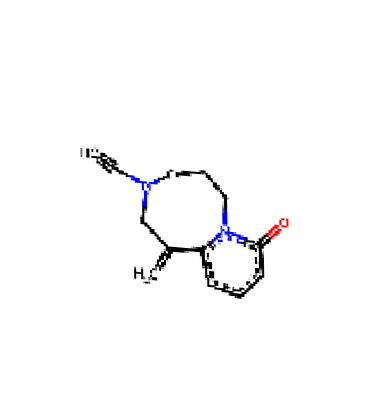 C#CN1CCCn2c(cccc2=O)C(=C)C1